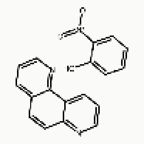 O=[N+]([O-])c1ccccc1O.c1cnc2c(c1)ccc1ncccc12